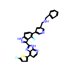 Fc1ccc(-c2ccnc3[nH]c(-c4n[nH]c5ccc(-c6cncc(CNCc7ccccc7)c6)c(F)c45)nc23)s1